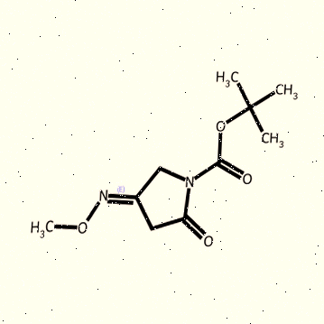 CO/N=C1\CC(=O)N(C(=O)OC(C)(C)C)C1